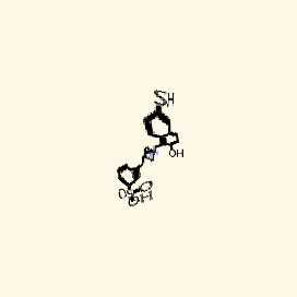 O=S(=O)(O)c1cccc(/N=N/c2c(O)ccc3cc(S)ccc23)c1